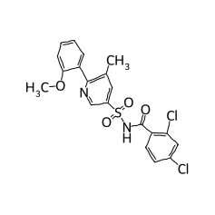 COc1ccccc1-c1ncc(S(=O)(=O)NC(=O)c2ccc(Cl)cc2Cl)cc1C